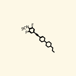 CCCC1CCC(C2CC=C(C#Cc3cc(F)c(N=C=S)c(F)c3)CC2)CC1